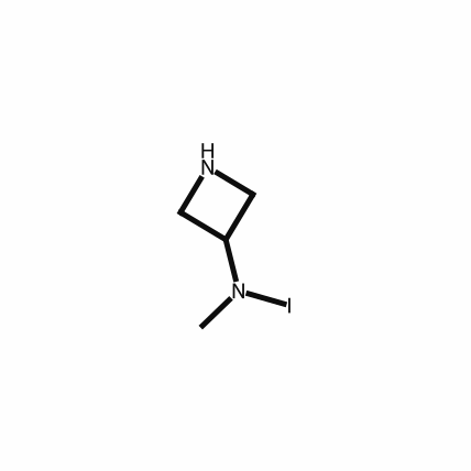 CN(I)C1CNC1